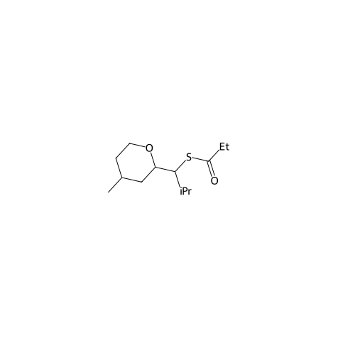 CCC(=O)SC(C(C)C)C1CC(C)CCO1